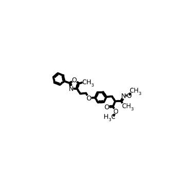 CON=C(C)C(Cc1ccc(OCCc2nc(-c3ccccc3)oc2C)cc1)C(=O)OC